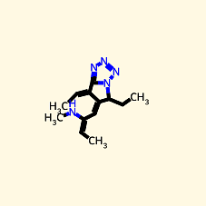 C\C=C(/C=C1\C(=C/C)c2nnnn2C1CC)NC